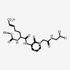 CCC(CC)CNC(=O)Cn1cccc(NC(=O)C(CCC=CC(=O)O)NC(=O)OC(C)(C)C)c1=O